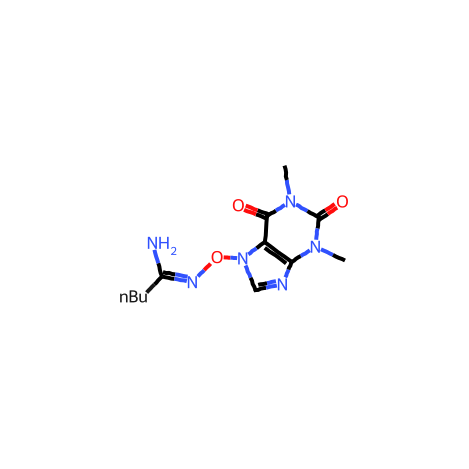 CCCCC(N)=NOn1cnc2c1c(=O)n(C)c(=O)n2C